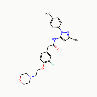 Cc1ccc(-n2nc(C(C)(C)C)cc2NC(=O)Cc2ccc(OCCN3CCOCC3)c(F)c2)cc1